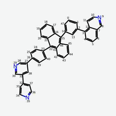 c1cc(-c2cccc3cnccc23)cc(-c2c3ccccc3c(-c3ccc(-c4cncc(-c5ccncc5)c4)cc3)c3ccccc23)c1